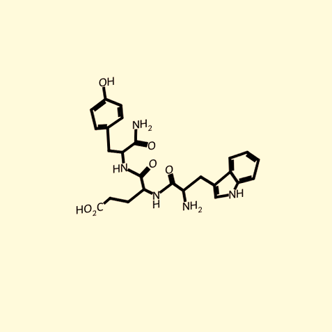 NC(=O)C(Cc1ccc(O)cc1)NC(=O)C(CCC(=O)O)NC(=O)C(N)Cc1c[nH]c2ccccc12